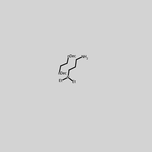 CCCCCCCCCCCCCCCCCCCCCC.CCN(CC)CCCN